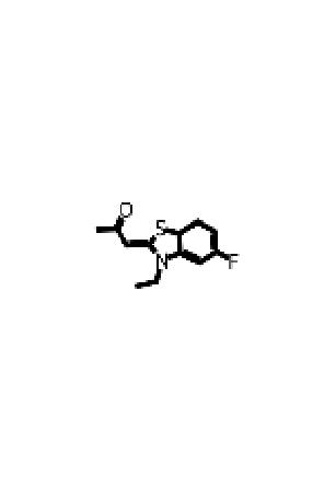 CCN1C2=CC(F)=CCC2S/C1=C\C(C)=O